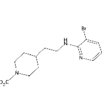 O=C(O)N1CCC(CCNc2ncccc2Br)CC1